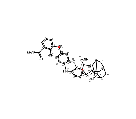 CNC(=O)c1cccc(C)c1Nc1nc(Nc2ccc(O[C@]34CC5CC(C3)[C@@H](N3CCC(NC(C)=O)C3)C(C5)C4)cc2OC)ncc1C(F)(F)F